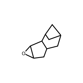 C1C2CC1C1C(C2)CC2OC21